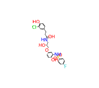 O=S(=O)(Nc1cc(OCC(O)CN[C@@H](O)CCc2ccc(O)c(Cl)c2)ccc1O)c1ccc(F)cc1